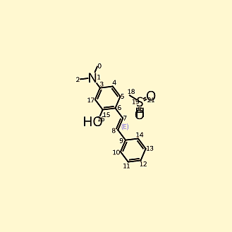 CN(C)c1ccc(/C=C/c2ccccc2)c(O)c1.C[SH](=O)=O